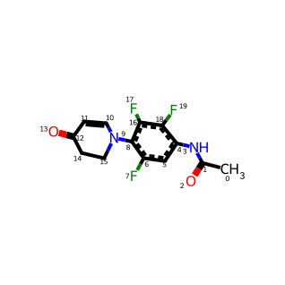 CC(=O)Nc1cc(F)c(N2C=CC(=O)CC2)c(F)c1F